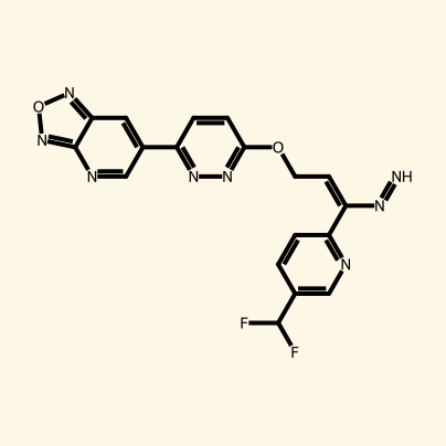 N=N/C(=C/COc1ccc(-c2cnc3nonc3c2)nn1)c1ccc(C(F)F)cn1